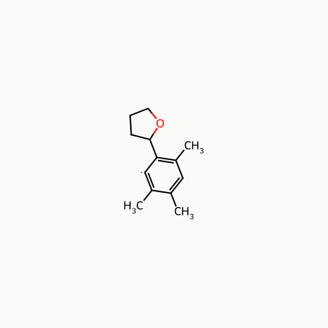 Cc1[c]c(C2CCCO2)c(C)cc1C